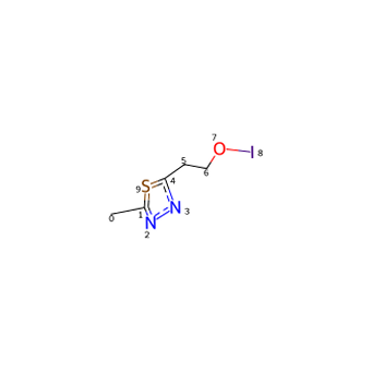 Cc1nnc(CCOI)s1